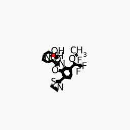 CCOC(c1ccc(-c2nccs2)c2oc(C3NCC4CC3N4C(=O)O)nc12)C(F)(F)F